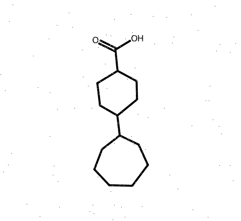 O=C(O)C1CCC(C2CCCCCC2)CC1